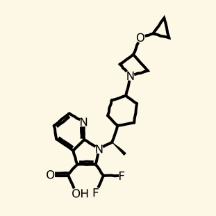 C[C@H](C1CCC(N2CC(OC3CC3)C2)CC1)n1c(C(F)F)c(C(=O)O)c2cccnc21